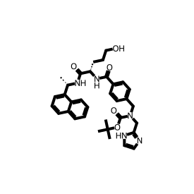 C[C@H](NC(=O)[C@H](CCCO)NC(=O)c1ccc(CN(Cc2ncc[nH]2)C(=O)OC(C)(C)C)cc1)c1cccc2ccccc12